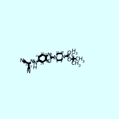 CC(C)(C)OC(=O)N1CCN(c2nc3ccc(NN=C(C#N)C#N)cc3o2)CC1